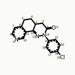 O=C1CC2CCc3ccncc3C2=NN1c1ccc(Cl)cc1